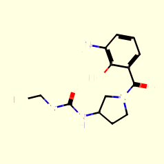 CCNC(=O)NC1CCN(C(=O)c2cccc(N)c2O)C1